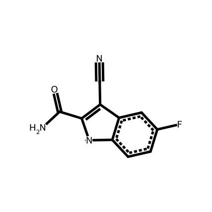 N#CC1=C(C(N)=O)[N]c2ccc(F)cc21